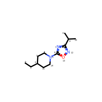 CCC1CCN(c2nc(C(C)C)no2)CC1